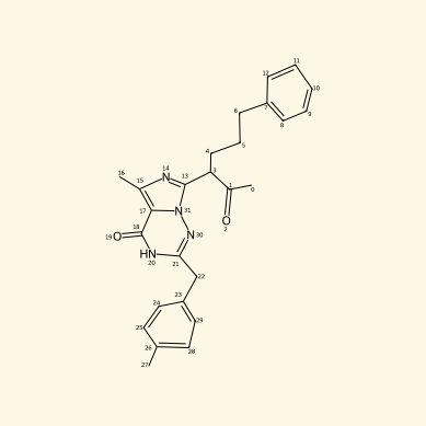 CC(=O)C(CCCc1ccccc1)c1nc(C)c2c(=O)[nH]c(Cc3ccc(C)cc3)nn12